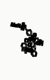 CNc1nc(-c2ccc(S(=O)(=O)N(CC(C)C)C[C@H](O)[C@H](Cc3ccccc3)C(Oc3c(C)cccc3C)C(N)=O)cc2)cs1